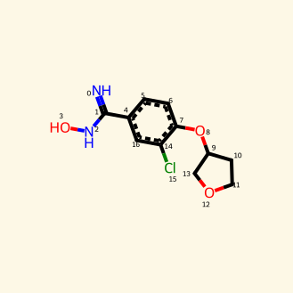 N=C(NO)c1ccc(OC2CCOC2)c(Cl)c1